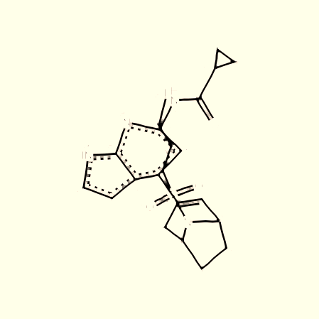 O=C(Nc1cc(C2=CC3CCC(C2)N3S(=O)(=O)CCCF)c2cc[nH]c2n1)C1CC1